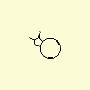 CC1OC2CCC=CCCC=CCCC2C1=O